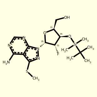 CSc1nn([C@@H]2O[C@@H](CO)[C@@H](O[Si](C)(C)C(C)(C)C)[C@@H]2F)c2ncnc(N)c12